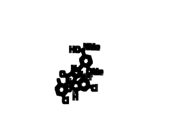 CNC(O)c1ccc(OC)c(-c2nc3c(n2C(C)C)C2(C(=O)Nc4cc(Cl)ccc42)N(c2cc(Cl)ccc2C)C3=O)c1